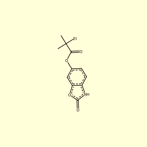 CCC(C)(C)C(=O)Oc1ccc2[nH]c(=O)oc2c1